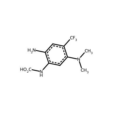 CN(C)c1cc(NC(=O)O)c(N)cc1C(F)(F)F